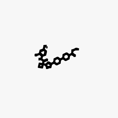 CC(C)(C)OC(=O)N1CCC(C2CCN(c3cnn(C4(C(=O)Nc5ccc(C(F)(F)F)cc5Cl)CCC4)c3)CC2)CC1